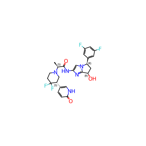 C[C@@H](C(=O)Nc1cn2c(n1)[C@H](O)C[C@@H]2c1cc(F)cc(F)c1)N1CCC(F)(F)[C@@H](c2ccc(=O)[nH]c2)C1